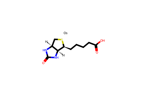 O=C(O)CCCC[C@@H]1SC[C@@H]2NC(=O)N[C@@H]21.[Os]